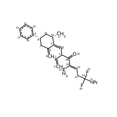 C=CC(/N=C1\C(=C)C[C@H](c2ccccc2)C[C@@H]1C)C(=O)/C(C)=C/CC(F)(F)CCC